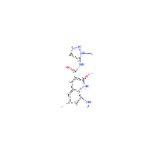 CNc1cc(F)cc2cc(C(=O)Nc3ccnn3C)c(=O)[nH]c12